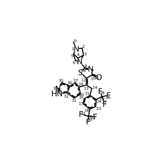 CN1CC2CC1CN2C1=NC(=O)C(=C(Cc2ccc(C(F)(F)F)cc2C(F)(F)F)c2ccc3[nH]ncc3c2)S1